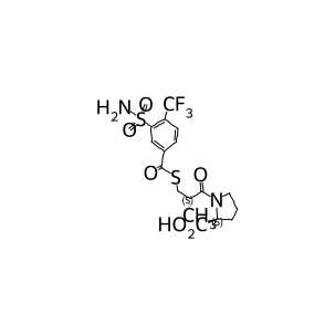 C[C@H](CSC(=O)c1ccc(C(F)(F)F)c(S(N)(=O)=O)c1)C(=O)N1CCC[C@H]1C(=O)O